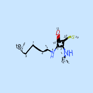 CCNc1c(NCCCCC(C)(C)C)c(=O)c1=S